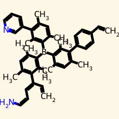 C=C/C(=C\C=C/N)c1c(C)cc(C)c(B(c2c(C)cc(C)c(-c3ccc(C=C)cc3)c2C)c2c(C)cc(C)c(-c3cccnc3)c2C)c1C